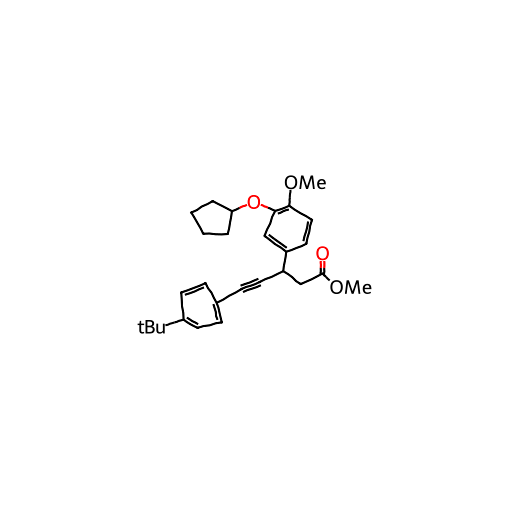 COC(=O)CC(C#Cc1ccc(C(C)(C)C)cc1)c1ccc(OC)c(OC2CCCC2)c1